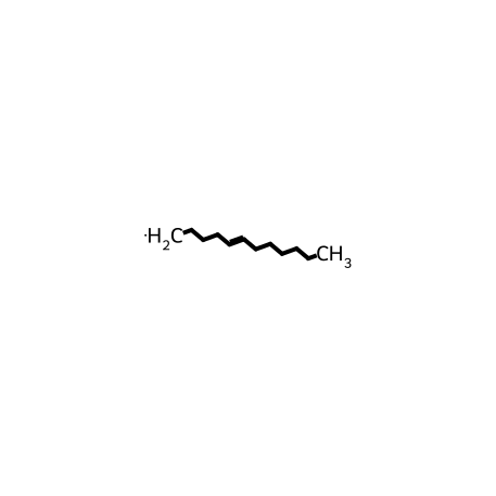 [CH2]CCCC=CCCCCCC